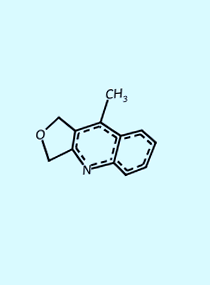 Cc1c2c(nc3ccccc13)COC2